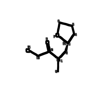 CN(C[C@H]1CCCO1)C(=O)CCl